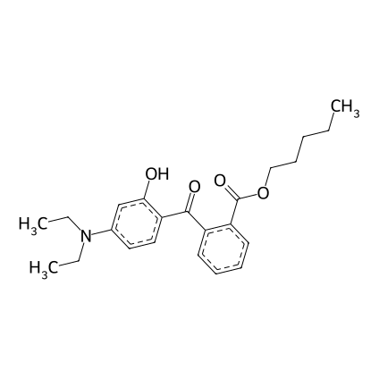 CCCCCOC(=O)c1ccccc1C(=O)c1ccc(N(CC)CC)cc1O